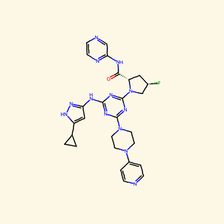 O=C(Nc1cnccn1)[C@@H]1C[C@@H](F)CN1c1nc(Nc2cc(C3CC3)[nH]n2)nc(N2CCN(c3ccncc3)CC2)n1